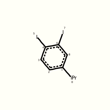 CC(C)c1ccc(I)c(I)c1